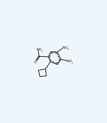 NC(=O)c1cc([N+](=O)[O-])c([N+](=O)[O-])cc1C1CCC1